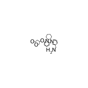 COC1CC(Oc2cccc([N+]3(C4CCCCC4)C=C(CN)C=CC3)n2)CO1